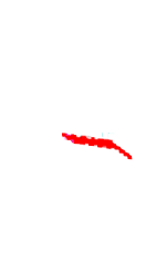 C/C=C/C1CCC(C2CCC(c3ccc(-c4ccc(-c5ccc(CCCCCCCCC)c(F)c5F)cc4)cc3F)CC2)CC1